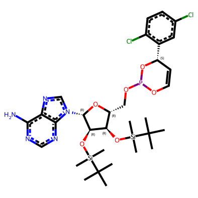 CC(C)(C)[Si](C)(C)O[C@@H]1[C@H](O[Si](C)(C)C(C)(C)C)[C@@H](COP2OC=C[C@@H](c3cc(Cl)ccc3Cl)O2)O[C@H]1n1cnc2c(N)ncnc21